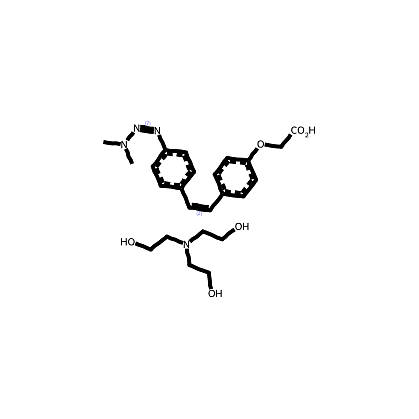 CN(C)/N=N\c1ccc(/C=C\c2ccc(OCC(=O)O)cc2)cc1.OCCN(CCO)CCO